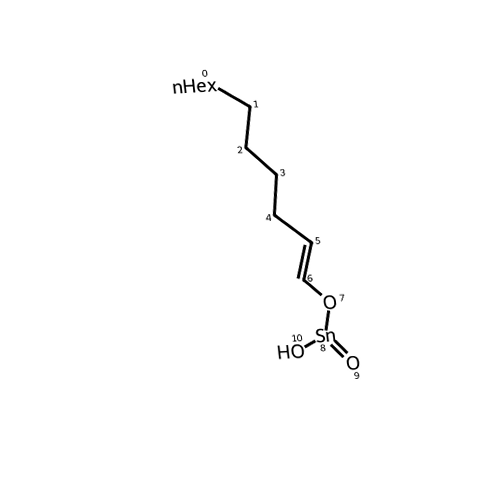 CCCCCCCCCCC=C[O][Sn](=[O])[OH]